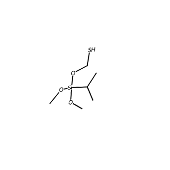 CO[Si](OC)(OCS)C(C)C